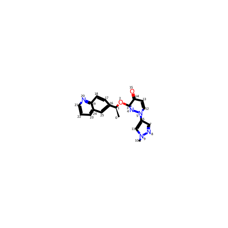 C[C@H](Oc1nn(-c2cnn(C)c2)ccc1=O)c1ccc2ncccc2c1